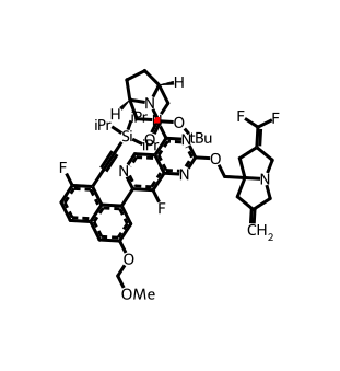 C=C1CN2CC(=C(F)F)CC2(COc2nc(N3C[C@H]4CC[C@@H](C3)N4C(=O)OC(C)(C)C)c3cnc(-c4cc(OCOC)cc5ccc(F)c(C#C[Si](C(C)C)(C(C)C)C(C)C)c45)c(F)c3n2)C1